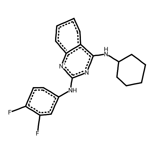 Fc1ccc(Nc2nc(NC3CCCCC3)c3ccccc3n2)cc1F